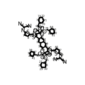 N#CC(C#N)=Nc1ccc(-c2nc3c(s2)C2=CC4C=C5OC(C(=O)OCc6ccccc6)(C(=O)OCc6ccccc6)c6nc(-c7ccc(N=C(C#N)C#N)s7)sc6C5=CC4C=C2OC3(C(=O)OCc2ccccc2)C(=O)OCc2ccccc2)s1